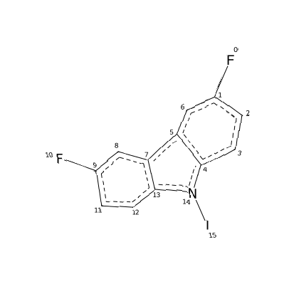 Fc1ccc2c(c1)c1cc(F)ccc1n2I